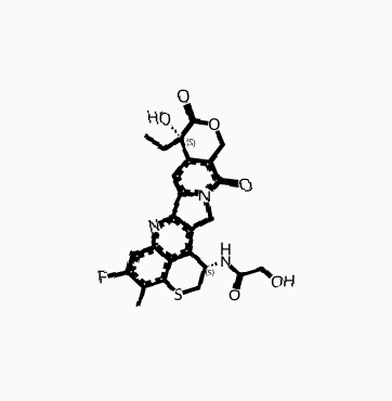 CC[C@@]1(O)C(=O)OCc2c1cc1n(c2=O)Cc2c-1nc1cc(F)c(C)c3c1c2[C@H](NC(=O)CO)CS3